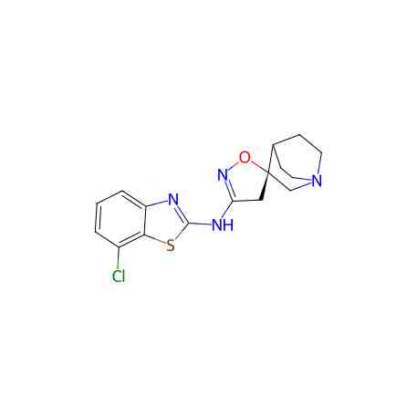 Clc1cccc2nc(NC3=NO[C@@]4(C3)CN3CCC4CC3)sc12